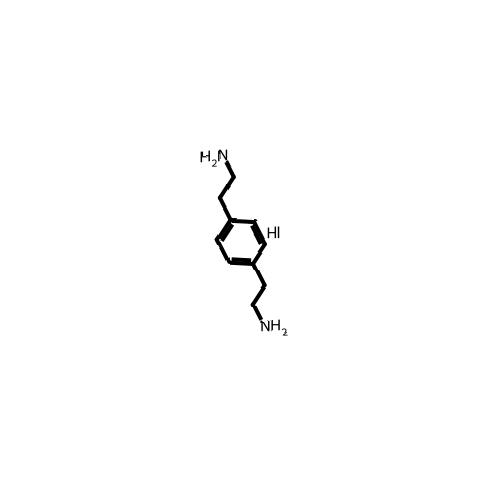 I.NCCc1ccc(CCN)cc1